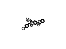 O=S(=O)(Cc1ccccc1)c1ccc(C(Cn2ccnc2)[S+]([O-])Cc2ccc(Cl)cc2)cc1